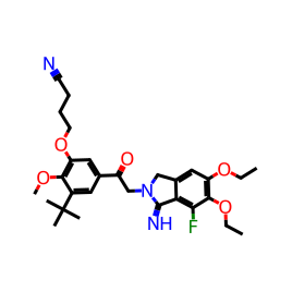 CCOc1cc2c(c(F)c1OCC)C(=N)N(CC(=O)c1cc(OCCCC#N)c(OC)c(C(C)(C)C)c1)C2